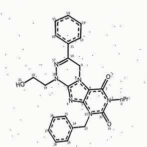 CCCn1c(=O)c2c(nc3n2CC(c2ccccc2)=NN3CCO)n(Cc2ccccc2)c1=O